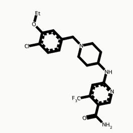 CCOc1cc(CN2CCC(Nc3cc(C(F)(F)F)c(C(N)=O)cn3)CC2)ccc1Cl